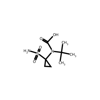 CC(C)(C)N(C(=O)O)C1(S(N)(=O)=O)CC1